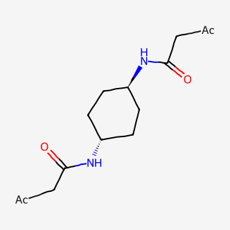 CC(=O)CC(=O)N[C@H]1CC[C@H](NC(=O)CC(C)=O)CC1